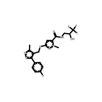 Cc1onc(-c2ccc(F)cc2)c1COc1cc(C(=O)NCC(O)C(F)(F)F)n(C)n1